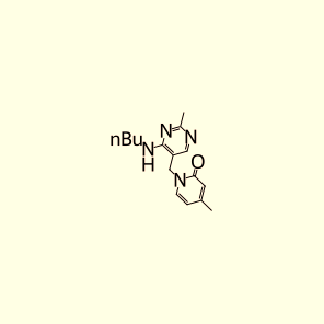 CCCCNc1nc(C)ncc1Cn1ccc(C)cc1=O